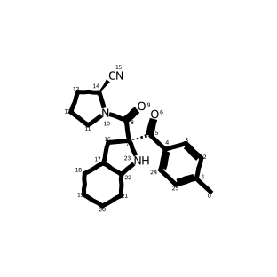 Cc1ccc(C(=O)[C@@]2(C(=O)N3CCC[C@H]3C#N)CC3CCCCC3N2)cc1